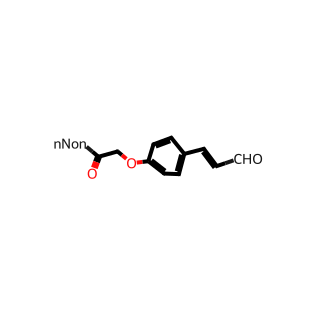 CCCCCCCCCC(=O)COc1ccc(C=CC=O)cc1